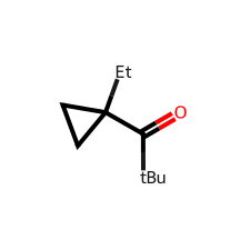 CCC1(C(=O)C(C)(C)C)CC1